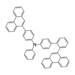 c1ccc(N(c2ccc(-c3ccccc3-c3cc4ccccc4c4ccccc34)cc2)c2ccc(-c3cc4ccccc4c4ccccc34)cc2)cc1